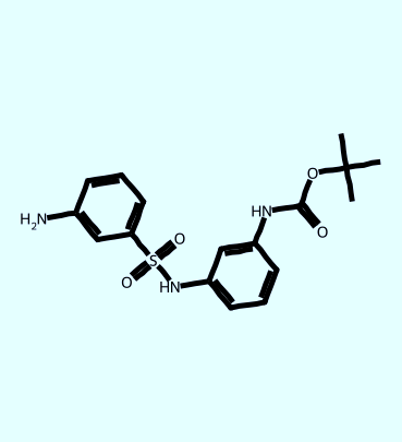 CC(C)(C)OC(=O)Nc1cccc(NS(=O)(=O)c2cccc(N)c2)c1